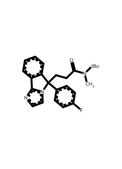 CN(C(=O)CCC1(c2ccc(F)cc2)c2ccccc2-c2nccn21)C(C)(C)C